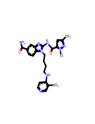 CCn1nc(C)cc1C(=O)Nc1nc2cc(C(N)=O)ccc2n1CCCCNc1ccncc1[N+](=O)[O-]